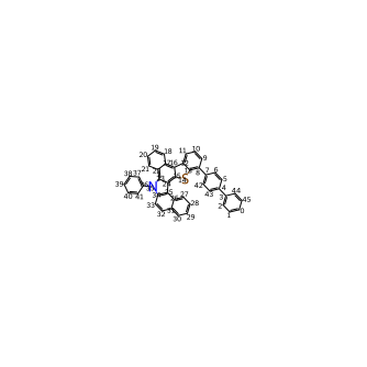 c1ccc(-c2ccc(-c3cccc4c3sc3c4c4ccccc4c4c3c3c5ccccc5ccc3n4-c3ccccc3)cc2)cc1